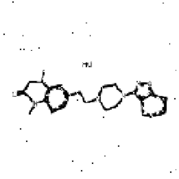 CC1CC(=O)N(C)c2ccc(CCN3CCN(c4noc5ccccc45)CC3)cc21.Cl